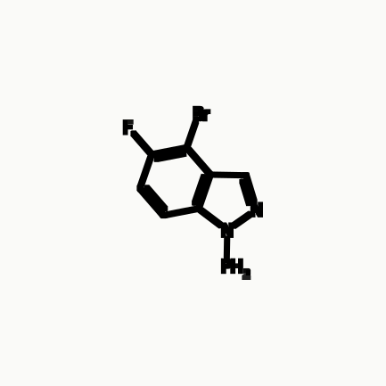 Fc1ccc2c(cnn2P)c1Br